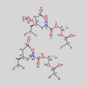 CC(C)C[C@H](CNC(=O)O[C@H](C)OC(=O)C(C)C)CC(=O)[O-].CC(C)C[C@H](CNC(=O)O[C@H](C)OC(=O)C(C)C)CC(=O)[O-].O.[Ca+2]